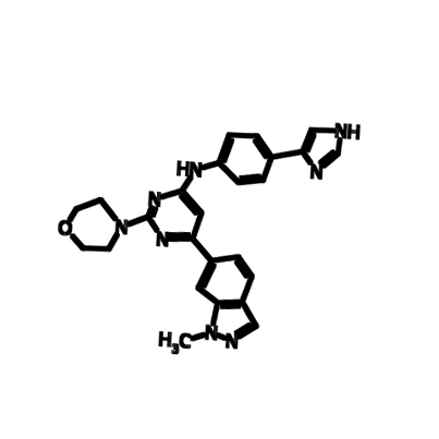 Cn1ncc2ccc(-c3cc(Nc4ccc(-c5c[nH]cn5)cc4)nc(N4CCOCC4)n3)cc21